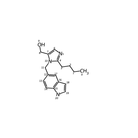 CCCCc1ncc(CO)n1Cc1ccc2c(c1)C=C[N]2